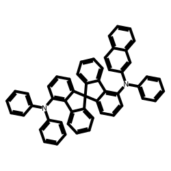 c1ccc(N(c2ccccc2)c2cccc3c2-c2ccccc2C32c3ccccc3-c3c(N(c4ccccc4)c4ccc5ccccc5c4)cccc32)cc1